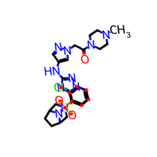 CN1CCN(C(=O)Cn2cc(Nc3nc4c(N5CC6CCC(C5)N6S(=O)(=O)c5ccccc5Cl)cccn4n3)cn2)CC1